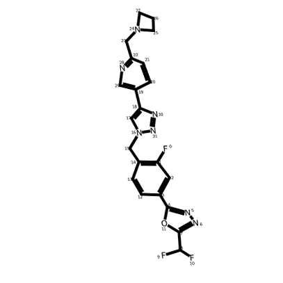 Fc1cc(-c2nnc(C(F)F)o2)ccc1Cn1cc(-c2ccc(CN3CCC3)nc2)nn1